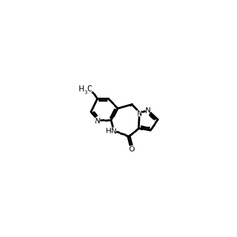 Cc1cnc2c(c1)Cn1nccc1C(=O)N2